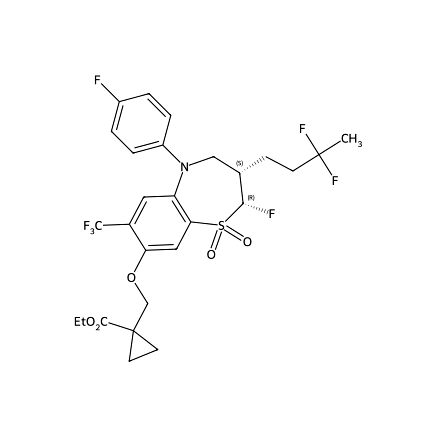 CCOC(=O)C1(COc2cc3c(cc2C(F)(F)F)N(c2ccc(F)cc2)C[C@H](CCC(C)(F)F)[C@H](F)S3(=O)=O)CC1